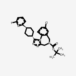 CC(C)(C)OC(=O)N1Cc2cc(Cl)ccc2-n2c(nnc2[C@H]2CC[C@H](c3cccc(F)n3)CC2)C1